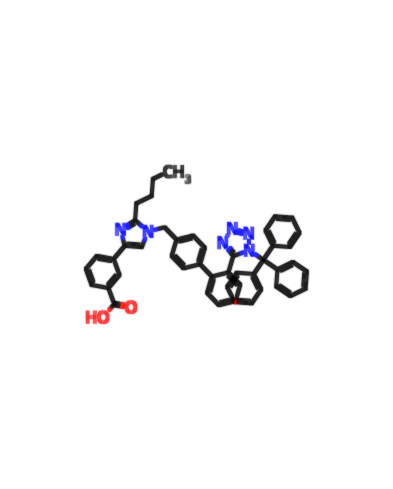 CCCCc1nc(-c2cccc(C(=O)O)c2)cn1Cc1ccc(-c2ccccc2-c2nnnn2C(c2ccccc2)(c2ccccc2)c2ccccc2)cc1